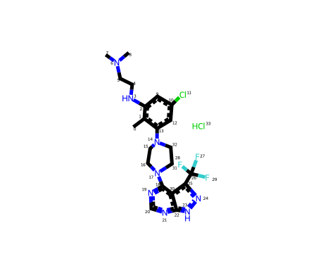 Cc1c(NCCN(C)C)cc(Cl)cc1N1CCN(c2ncnc3[nH]nc(C(F)(F)F)c23)CC1.Cl